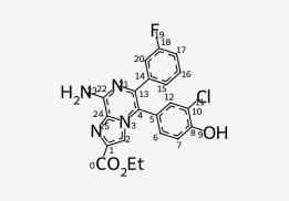 CCOC(=O)c1cn2c(-c3ccc(O)c(Cl)c3)c(-c3cccc(F)c3)nc(N)c2n1